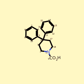 O=C(O)N1CCC(c2ccccc2)(c2ccccc2)CC1